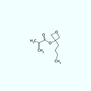 C=C(C)C(=O)OC1(CCCC)COC1